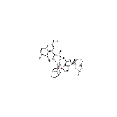 C#Cc1c(F)ccc2cc(O)cc(-c3ncc4c(N5CC6CCC(C5)N6C(=O)n5cc(C#N)cn5)nc(OC[C@@]56CCCN5C[C@H](F)C6)nc4c3F)c12